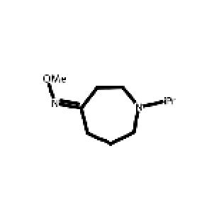 CO/N=C1/CCCN(C(C)C)CC1